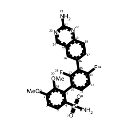 COc1ccc(S(N)(=O)=O)c(-c2ccc(F)c(-c3ccc4nc(N)ncc4c3)c2F)c1OC